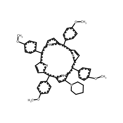 COc1ccc(-c2c3nc(c(-c4ccc(OC)cc4)c4cc(N5CCCCC5)c([nH]4)c(-c4ccc(OC)cc4)c4nc(c(-c5ccc(OC)cc5)c5ccc2[nH]5)C=C4)C=C3)cc1